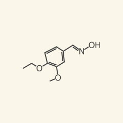 CCOc1ccc(C=NO)cc1OC